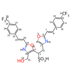 O=S(=O)(O)C(Cc1coc(C=Cc2ccc(C(F)(F)F)cc2)n1)c1oc(C=Cc2ccc(C(F)(F)F)cc2)nc1CO